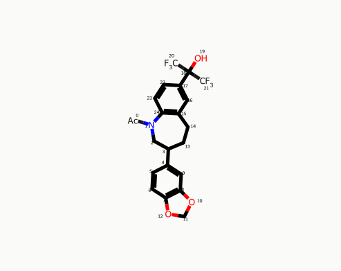 CC(=O)N1CC(c2ccc3c(c2)OCO3)CCc2cc(C(O)(C(F)(F)F)C(F)(F)F)ccc21